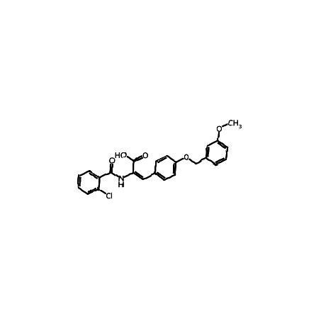 COc1cccc(COc2ccc(/C=C(/NC(=O)c3ccccc3Cl)C(=O)O)cc2)c1